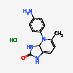 CC1=CC=C2NC(=O)NC2N1c1ccc(N)cc1.Cl